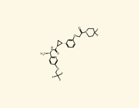 C[C@@H](NC(=O)[C@H]1C[C@@H]1c1cccc(OCC(=O)N2CCC(F)(F)CC2)c1)c1ccc(OCC(F)(F)F)cn1